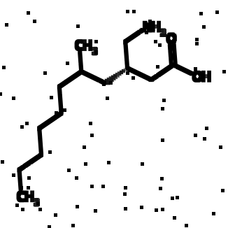 CCCCCCC(C)C[C@H](CN)CC(=O)O